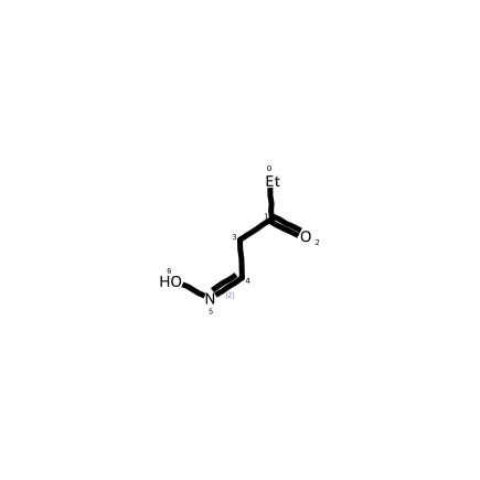 CCC(=O)C/C=N\O